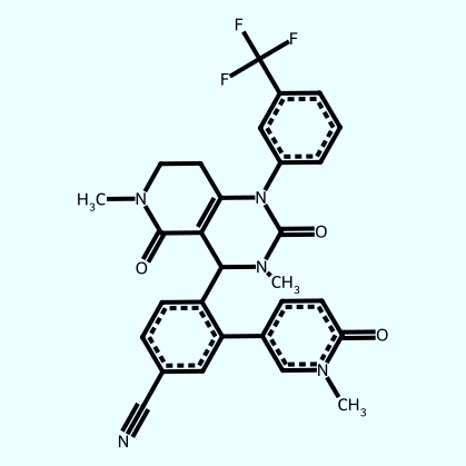 CN1CCC2=C(C1=O)C(c1ccc(C#N)cc1-c1ccc(=O)n(C)c1)N(C)C(=O)N2c1cccc(C(F)(F)F)c1